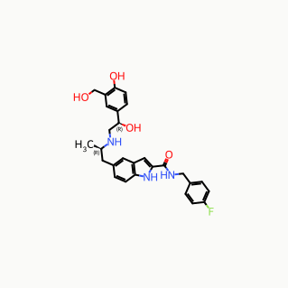 C[C@H](Cc1ccc2[nH]c(C(=O)NCc3ccc(F)cc3)cc2c1)NC[C@H](O)c1ccc(O)c(CO)c1